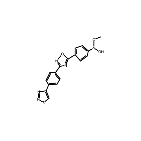 CON(O)c1ccc(-c2nc(-c3ccc(-c4csnn4)cc3)no2)cc1